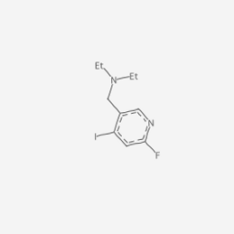 CCN(CC)Cc1cnc(F)cc1I